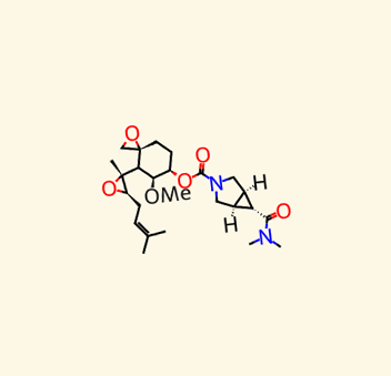 CO[C@H]1C([C@@]2(C)O[C@@H]2CC=C(C)C)[C@]2(CC[C@H]1OC(=O)N1C[C@@H]3[C@H](C1)[C@H]3C(=O)N(C)C)CO2